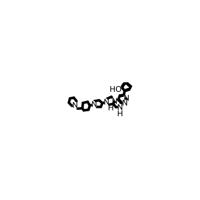 Oc1ccccc1-c1cc2c(nn1)NC[C@H]1CN(C3CCN(C4CCC(CN5CCCCC5)CC4)CC3)CCN21